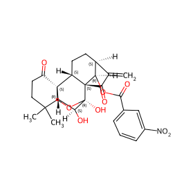 C=C1C(=O)[C@]23[C@H](OC(=O)c4cccc([N+](=O)[O-])c4)[C@H]1CC[C@H]2[C@@]12CO[C@@]3(O)[C@@H](O)[C@@H]1C(C)(C)CCC2=O